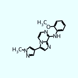 COc1ccccc1Nc1nccn2c(-c3cnn(C)c3)cnc12